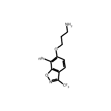 CCCc1c(OCCCN)ccc2c(C(F)(F)F)noc12